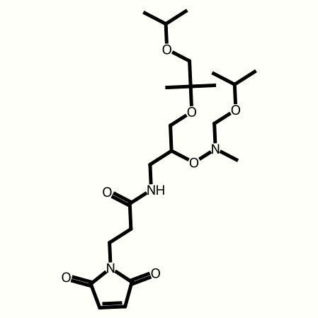 CC(C)OCN(C)OC(CNC(=O)CCN1C(=O)C=CC1=O)COC(C)(C)COC(C)C